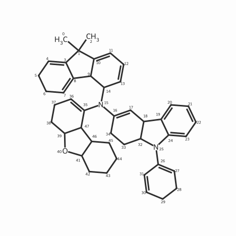 CC1(C)C2=CCCC=C2C2C1=CC=CC2N(C1=CC2c3ccccc3N(C3=CCCC=C3)C2CC1)C1=CCCC2OC3CCCCC3C12